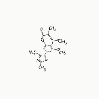 COc1cc(-c2nc(C)nn2C)cc2oc(=O)c(C)c(C)c12